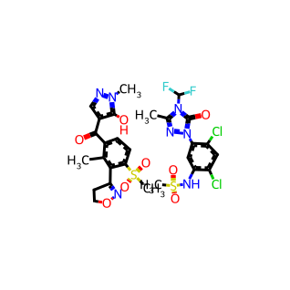 Cc1c(C(=O)c2cnn(C)c2O)ccc(S(C)(=O)=O)c1C1=NOCC1.Cc1nn(-c2cc(NS(C)(=O)=O)c(Cl)cc2Cl)c(=O)n1C(F)F